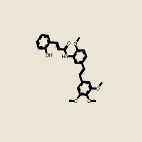 COc1ccc(/C=C/c2cc(OC)c(OC)c(OC)c2)cc1NC(=O)/C=C/c1ccccc1O